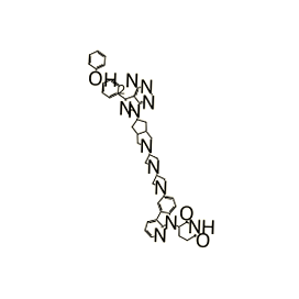 Nc1ncnc2c1c(-c1ccc(Oc3ccccc3)cc1)nn2C1CC2CN(C3CN(C4CN(c5ccc6c(c5)c5cccnc5n6C5CCC(=O)NC5=O)C4)C3)CC2C1